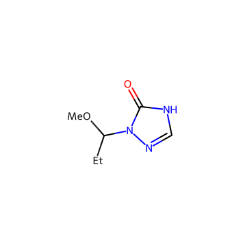 CCC(OC)n1nc[nH]c1=O